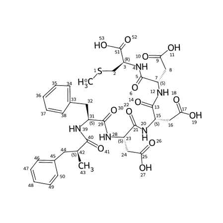 CSC[C@H](NC(=O)[C@H](CC(=O)O)NC(=O)[C@H](CC(=O)O)NC(=O)[C@H](CC(=O)O)NC(=O)[C@H](Cc1ccccc1)NC(=O)[C@@H](C)Cc1ccccc1)C(=O)O